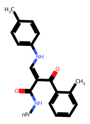 CCCNC(=O)C(=CNc1ccc(C)cc1)C(=O)c1ccccc1C